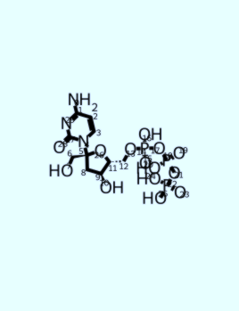 Nc1ccn([C@@]2(CO)C[C@H](O)[C@@H](COP(=O)(O)OP(=O)(O)OP(=O)(O)O)O2)c(=O)n1